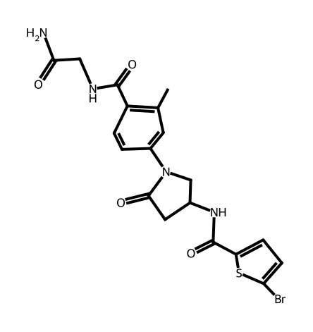 Cc1cc(N2CC(NC(=O)c3ccc(Br)s3)CC2=O)ccc1C(=O)NCC(N)=O